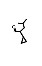 CC(C)CC([C]=O)C1CC1